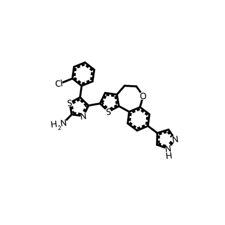 Nc1nc(-c2cc3c(s2)-c2ccc(-c4cn[nH]c4)cc2OCC3)c(-c2ccccc2Cl)s1